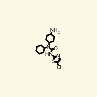 NC1CCC(N(C(=O)Nc2ncc(Cl)s2)C2CCCCC2)CC1